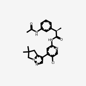 CC(=O)Nc1cccc([C@@H](C)C(=O)Nc2cc(-c3cnn4c3CC(C)(C)C4)c(Cl)cn2)c1